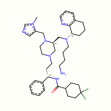 Cn1cncc1CN1CCN(CC[C@H](NC(=O)C2CCC(F)(F)CC2)c2ccccc2)C[C@@H]1CN(CCCCN)[C@H]1CCCc2cccnc21